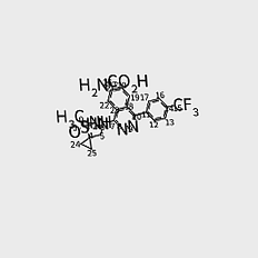 CS(=N)(=O)C1(CNc2nnc(-c3ccc(C(F)(F)F)cc3)c3ccccc23)CC1.NC(=O)O